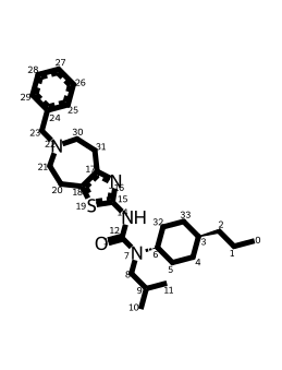 CCC[C@H]1CC[C@H](N(CC(C)C)C(=O)Nc2nc3c(s2)CCN(Cc2ccccc2)CC3)CC1